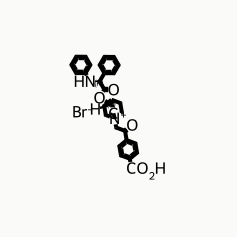 O=C(O)c1ccc(C(=O)C[N+]23CCC(CC2)[C@@H](OC(=O)[C@H](Nc2ccccc2)c2ccccc2)C3)cc1.[Br-]